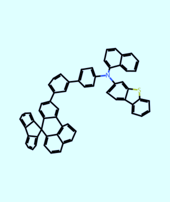 c1cc(-c2ccc(N(c3ccc4c(c3)sc3ccccc34)c3cccc4ccccc34)cc2)cc(-c2ccc3c(c2)-c2cccc4cccc(c24)C32c3ccccc3-c3ccccc32)c1